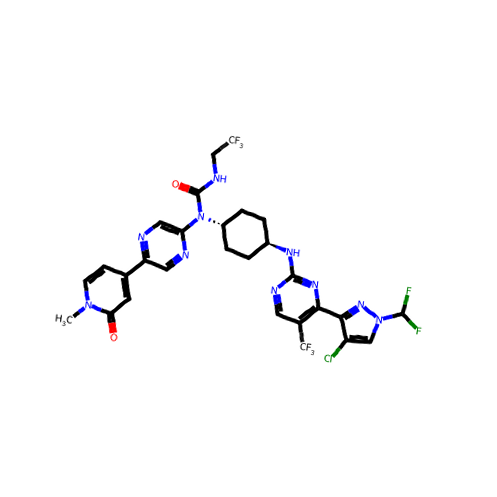 Cn1ccc(-c2cnc(N(C(=O)NCC(F)(F)F)[C@H]3CC[C@H](Nc4ncc(C(F)(F)F)c(-c5nn(C(F)F)cc5Cl)n4)CC3)cn2)cc1=O